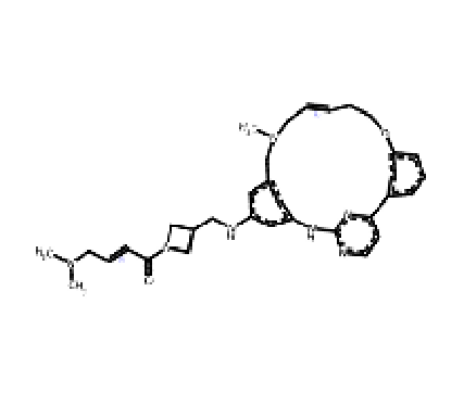 CN(C)C/C=C/C(=O)N1CC(CNc2cc3cc(c2)Nc2nccc(n2)-c2cccc(c2)OCC/C=C/CN(C)C3)C1